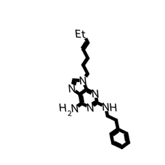 CCC=CCCCn1cnc2c(N)nc(NCCc3ccccc3)nc21